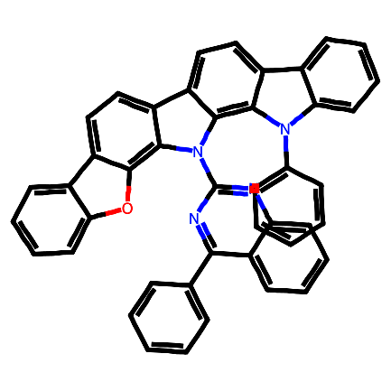 c1ccc(-c2nc(-n3c4c(ccc5c6ccccc6oc54)c4ccc5c6ccccc6n(-c6ccccc6)c5c43)nc3ccccc23)cc1